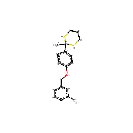 Cc1cccc(COc2ccc(C3(C)SCCCS3)cc2)c1